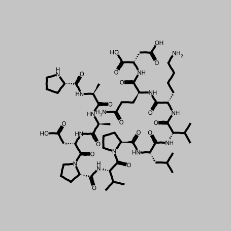 CC(C)C[C@H](NC(=O)[C@@H]1CCCN1C(=O)[C@@H](NC(=O)[C@@H]1CCCN1C(=O)[C@H](CC(=O)O)NC(=O)[C@H](C)NC(=O)[C@H](C)NC(=O)[C@@H]1CCCN1)C(C)C)C(=O)N[C@H](C(=O)N[C@@H](CCCCN)C(=O)N[C@@H](CCC(N)=O)C(=O)N[C@@H](CC(=O)O)C(=O)O)C(C)C